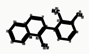 Cc1cccc(-c2ccc3ccccc3c2N)c1C